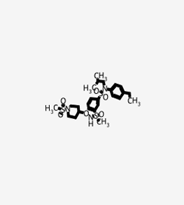 CCc1ccc(N(CC(C)C)S(=O)(=O)c2ccc(OC3CCN(S(C)(=O)=O)CC3)c(S(C)(=N)=O)c2)cc1